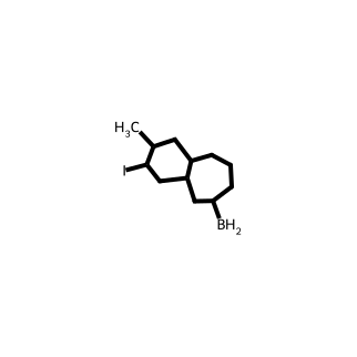 BC1CCCC2CC(C)C(I)CC2C1